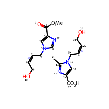 COC(=O)c1cn(C/C=C\CO)cn1.Cc1nc(C(=O)O)cn1C/C=C\CO